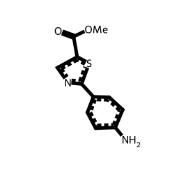 COC(=O)c1cnc(-c2ccc(N)cc2)s1